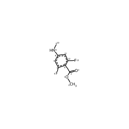 COC(=O)c1c(F)cc(NI)cc1F